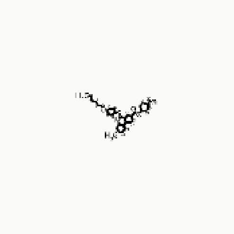 CCCCCCOc1ccc(Sc2nc3cc(C)ccc3c3ccc(C(=O)OC4CCC(C=O)CC4)cc23)cc1